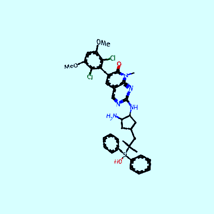 COc1cc(OC)c(Cl)c(-c2cc3cnc(NC4CC(CC(C)(C)[Si](O)(c5ccccc5)c5ccccc5)CC4N)nc3n(C)c2=O)c1Cl